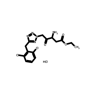 CCOC(=O)CC(N)C(=O)Cn1nnc(Cc2c(Cl)cccc2Cl)n1.Cl